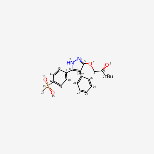 CC(C)(C)C(=O)COc1n[nH]c(-c2ccc(S(C)(=O)=O)cc2)c1-c1ccccc1